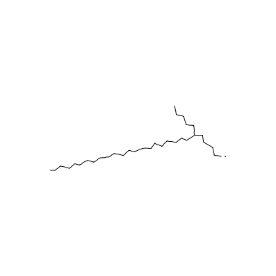 [CH2]CCCCC(CCCCC)CCCCCCCCCCCCCCCCCCCCCC